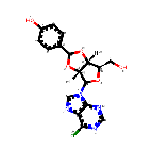 OC[C@H]1OC(n2cnc3c(Cl)ncnc32)[C@@H]2OC(c3ccc(O)cc3)O[C@H]12